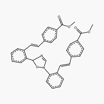 COC(=O)c1ccc(C=Cc2ccccc2C2N=CN(c3ccccc3C=Cc3ccc(C(=O)OC)cc3)O2)cc1